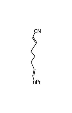 CCCC=CCCCC=CC#N